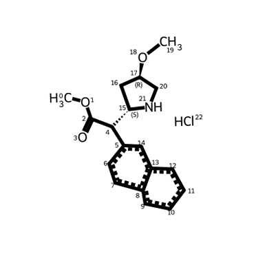 COC(=O)C(c1ccc2ccccc2c1)[C@@H]1C[C@@H](OC)CN1.Cl